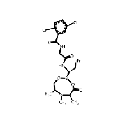 CC(C)C[C@H](NC(=O)CNC(=O)c1cc(Cl)ccc1Cl)B1OC[C@H](C)N(C)[C@H](C)C(=O)O1